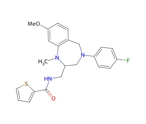 COc1ccc2c(c1)N(C)C(CNC(=O)c1cccs1)CN(c1ccc(F)cc1)C2